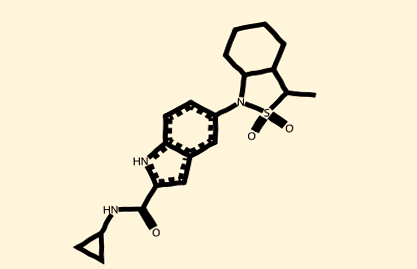 CC1C2CCCCC2N(c2ccc3[nH]c(C(=O)NC4CC4)cc3c2)S1(=O)=O